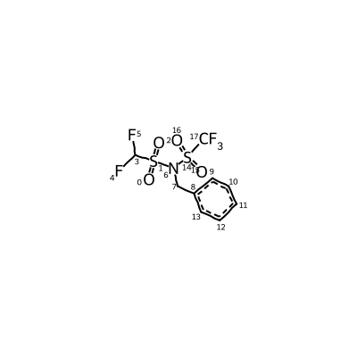 O=S(=O)(C(F)F)N(Cc1ccccc1)S(=O)(=O)C(F)(F)F